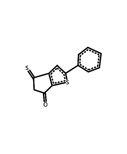 O=C1CC(=S)c2cc(-c3ccccc3)sc21